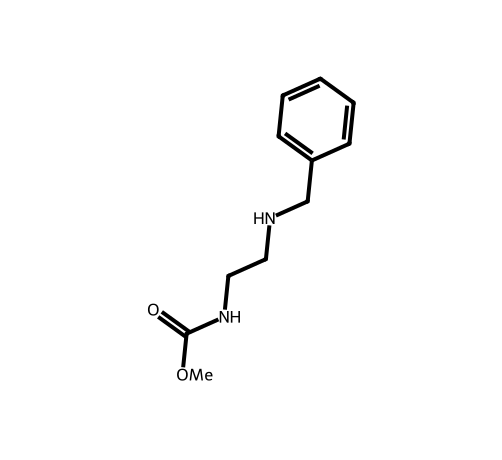 COC(=O)NCCNCc1ccccc1